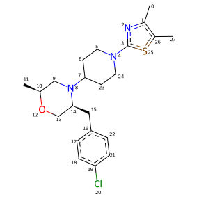 Cc1nc(N2CCC(N3C[C@H](C)OC[C@@H]3Cc3ccc(Cl)cc3)CC2)sc1C